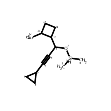 C[SiH](C)OC(C#CC1CC1)C1CCC1C(C)(C)C